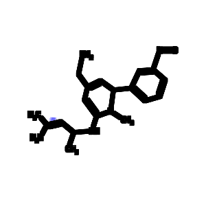 C/C(N)=C/C(C)NC1=CC(CN)=CC(c2cccc(N=O)c2)N1C